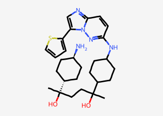 CC(O)(CCC(C)(O)[C@H]1CC[C@H](N)CC1)C1CCC(Nc2ccc3ncc(-c4cccs4)n3n2)CC1